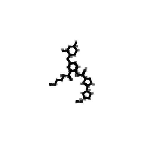 COCCNC(=O)c1cc(CN2CCN(C)C[C@@H]2C)ccc1NC(=O)C1CSC(N2CC[C@H](OC)C2)=N1